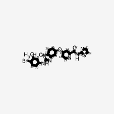 Cc1cc(Nc2nc3cc(Oc4ccnc(C(=O)Nc5nccs5)c4)ccc3n2C)ccc1Br